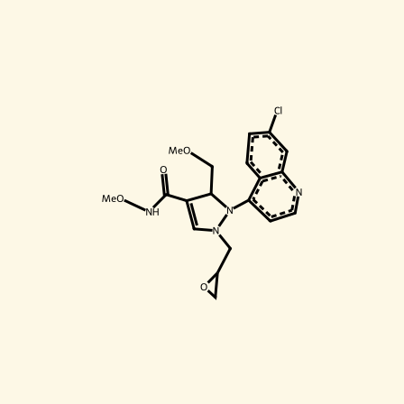 COCC1C(C(=O)NOC)=CN(CC2CO2)N1c1ccnc2cc(Cl)ccc12